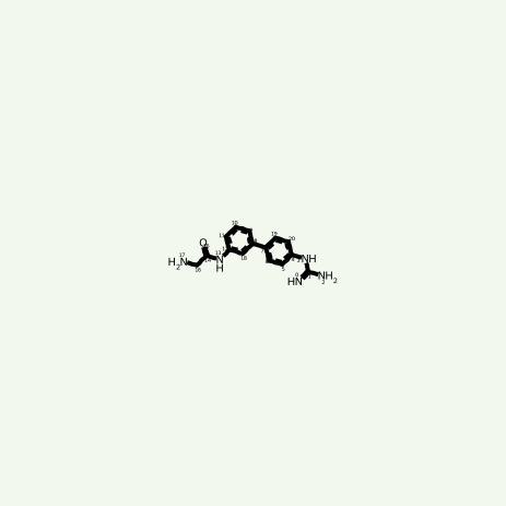 N=C(N)Nc1ccc(-c2cccc(NC(=O)CN)c2)cc1